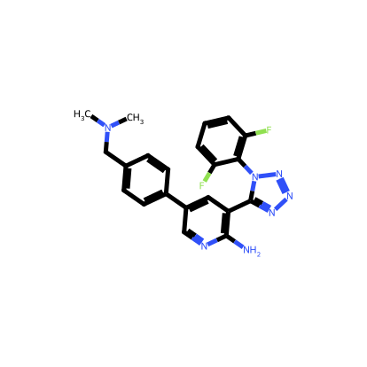 CN(C)Cc1ccc(-c2cnc(N)c(-c3nnnn3-c3c(F)cccc3F)c2)cc1